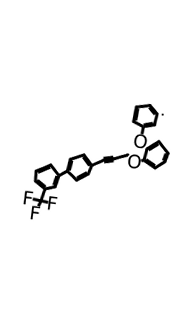 FC(F)(F)c1cccc(-c2ccc(C#CCOc3ccccc3Oc3c[c]ccc3)cc2)c1